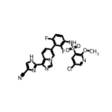 COc1ncc(Cl)cc1S(=O)(=O)Nc1ccc(F)c(-c2ccc3c(-c4nc(C#N)c[nH]4)ncn3c2)c1F